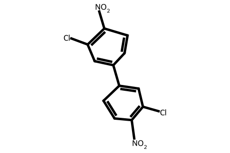 O=[N+]([O-])c1ccc(-c2ccc([N+](=O)[O-])c(Cl)c2)cc1Cl